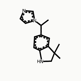 CC(c1ccc2c(c1)C(C)(C)CN2)n1ccnc1